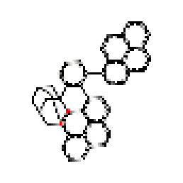 c1cc(-c2ccc3ccc4cccc5ccc2c3c45)c(-c2ccc3ccc4cccc5ccc2c3c45)c(C23CC4CC(CC(C4)C2)C3)c1